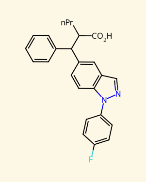 CCCC(C(=O)O)C(c1ccccc1)c1ccc2c(cnn2-c2ccc(F)cc2)c1